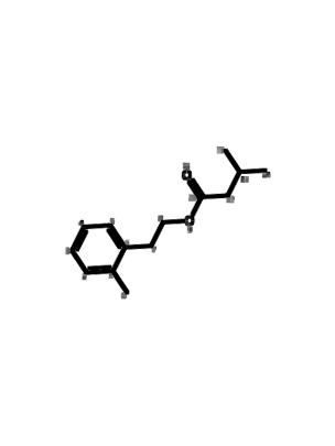 Cc1ccccc1CCOC(=O)CC(C)C